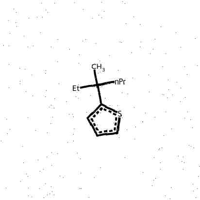 CCCC(C)(CC)c1cccs1